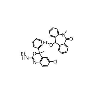 CCNC1=Nc2ccc(Cl)cc2C(C)(c2ccccc2)O1.CCOC1c2ccccc2C(=O)N(C)c2ccccc21